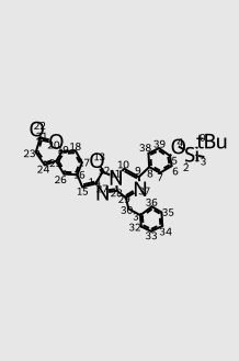 CC(C)(C)[Si](C)(C)Oc1ccc(C2=CN3C(=O)/C(=C\c4ccc5oc(=O)ccc5c4)N=C3C(Cc3ccccc3)=N2)cc1